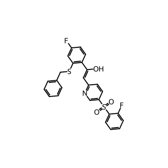 O=S(=O)(c1ccc(/C=C(\O)c2ccc(F)cc2SCc2ccccc2)nc1)c1ccccc1F